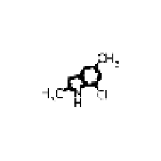 Cc1cc(Cl)c2[nH]c(C)cc2c1